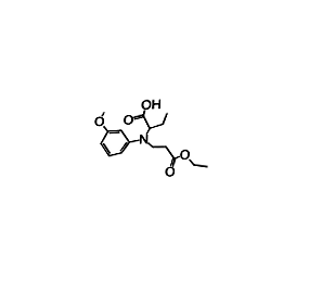 CCOC(=O)CCN(c1cccc(OC)c1)C(CC)C(=O)O